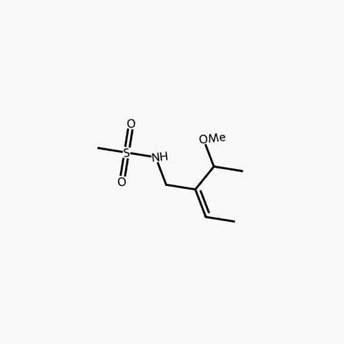 C/C=C(/CNS(C)(=O)=O)C(C)OC